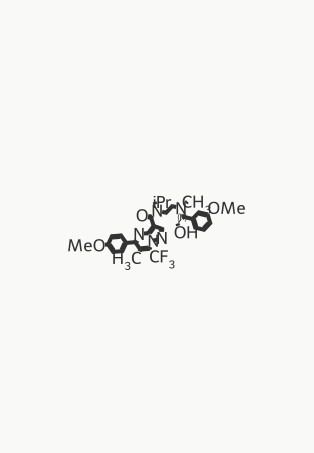 COc1ccc(-c2nc3c(C(=O)N(CCN(C)[C@@H](CO)c4cccc(OC)c4)C(C)C)cnn3c(C(F)(F)F)c2C)cc1